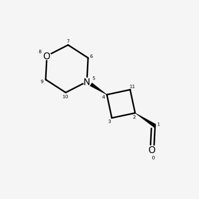 O=C[C@H]1C[C@@H](N2CCOCC2)C1